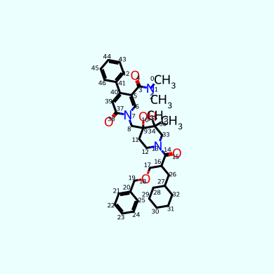 CN(C)C(=O)c1cn(CC2(O)CCN(C(=O)C(COCc3ccccc3)CC3CCCCC3)CC2(C)C)c(=O)cc1-c1ccccc1